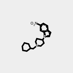 O=[N+]([O-])c1ccc2ccn(C3CCN(CC4CCCCC4)CC3)c2c1